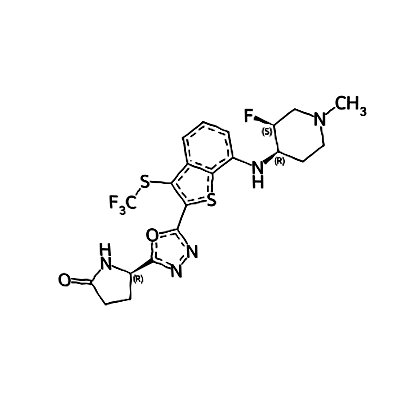 CN1CC[C@@H](Nc2cccc3c(SC(F)(F)F)c(-c4nnc([C@H]5CCC(=O)N5)o4)sc23)[C@@H](F)C1